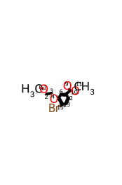 COCCOc1cc(C(=O)OC)ccc1Br